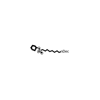 CCCCCCCCCCCCCCCCCCS(=O)(=O)Oc1ccccc1